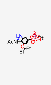 CCOP(=O)(O)OC(=O)C1=C[C@@H](OC(CC)CC)[C@H](NC(C)=O)[C@@H](N)C1